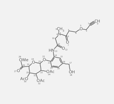 C#CCOCCC(=O)N(C)CC(=O)Nc1cc(CO)ccc1OC1OC(C(=O)OC)C(OC(C)=O)C(OC(C)=O)C1OC(C)=O